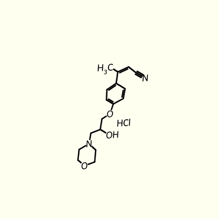 C/C(=C/C#N)c1ccc(OCC(O)CN2CCOCC2)cc1.Cl